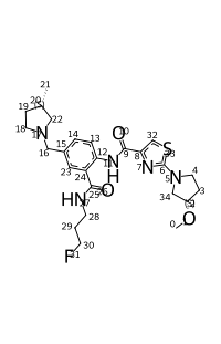 CO[C@H]1CCN(c2nc(C(=O)Nc3ccc(CN4CC[C@H](C)C4)cc3C(=O)NCCCF)cs2)C1